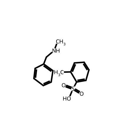 CNCc1ccccc1.Cc1ccccc1S(=O)(=O)O